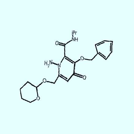 CC(C)NC(=O)c1c(OCc2ccccc2)c(=O)cc(COC2CCCCO2)n1N